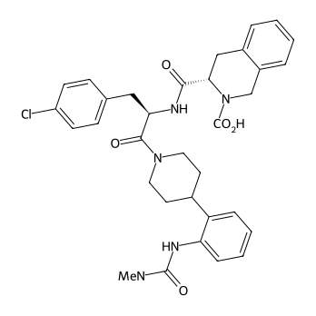 CNC(=O)Nc1ccccc1C1CCN(C(=O)[C@@H](Cc2ccc(Cl)cc2)NC(=O)[C@@H]2Cc3ccccc3CN2C(=O)O)CC1